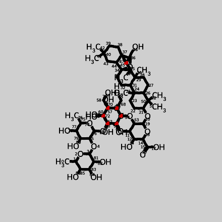 CC1OC(OC2C(OC3C(OC4C(O)C(C(=O)O)OC(OC5CCC6(C)C(CCC7(C)C6CCC68OCC9(CCC(C)(C)CC96)C(O)CC78C)C5(C)C)C4OC4OC(CO)C(O)C(O)C4O)OC(CO)C(O)C3O)OC(C)C(O)C2O)C(O)C(O)C1O